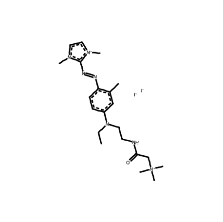 CCN(CCNC(=O)C[N+](C)(C)C)c1ccc(N=Nc2n(C)cc[n+]2C)c(C)c1.[I-].[I-]